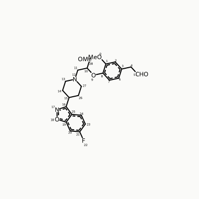 COc1cc(CC=O)ccc1OC(CN1CCC(c2noc3cc(F)ccc23)CC1)OC